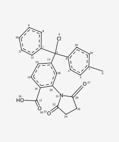 Cc1ccc(C(Cl)(c2ccccc2)c2ccc(C(=O)O)c(N3C(=O)CCC3=O)c2)cc1